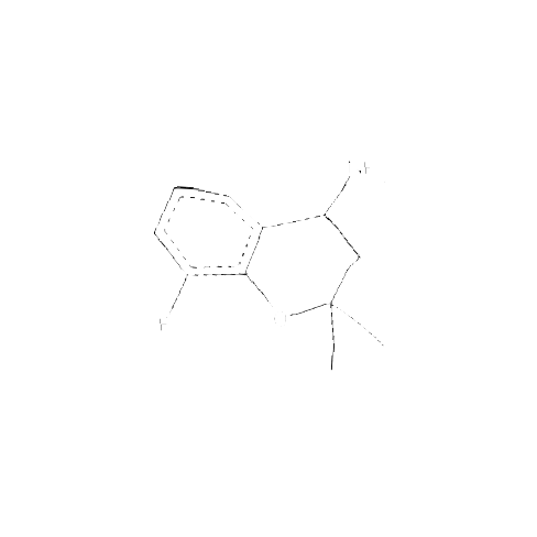 CC1(C)CC(N)c2cccc(F)c2O1